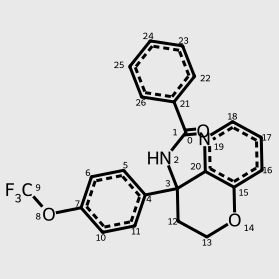 O=C(NC1(c2ccc(OC(F)(F)F)cc2)CCOc2cccnc21)c1ccccc1